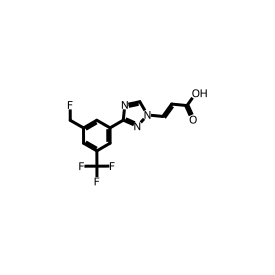 O=C(O)/C=C/n1cnc(-c2cc(CF)cc(C(F)(F)F)c2)n1